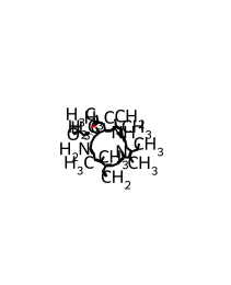 C=CC1=C/C=C2N=C(/C=c3\[nH]/c(c(C(=C)C)c3C)=C(/CC(=C)CC)C(C)[C@@H](CCC=O)C\C(N)=C\C(C)=C\1C)C(CC)=C\2C